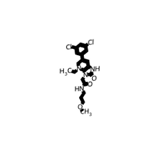 CCN1CC(c2cc(Cl)cc(Cl)c2)=Cc2[nH]c(=O)n(CC(=O)NCCCOC)c21